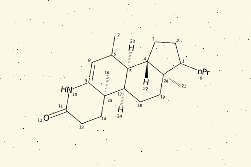 CCCC1CC[C@H]2[C@@H]3C(C)C=C4NC(=O)CC[C@]4(C)[C@@H]3CC[C@]12C